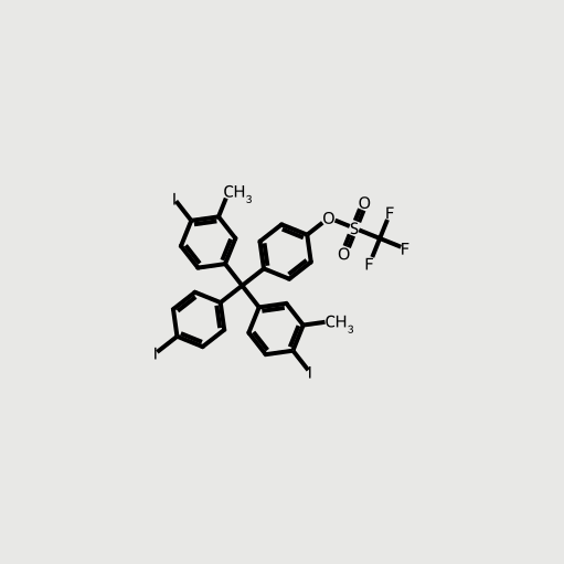 Cc1cc(C(c2ccc(I)cc2)(c2ccc(OS(=O)(=O)C(F)(F)F)cc2)c2ccc(I)c(C)c2)ccc1I